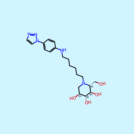 OC[C@@H]1[C@@H](O)[C@H](O)[C@@H](O)CN1CCCCCCNc1ccc(-n2ccnn2)cc1